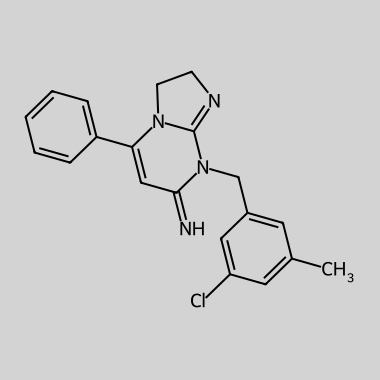 Cc1cc(Cl)cc(CN2C(=N)C=C(c3ccccc3)N3CCN=C23)c1